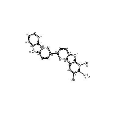 Nc1c(Br)cc2c(oc3ccc(-c4ccc5oc6ccccc6c5c4)cc32)c1Br